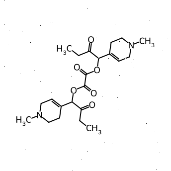 CCC(=O)C(OC(=O)C(=O)OC(C(=O)CC)C1=CCN(C)CC1)C1=CCN(C)CC1